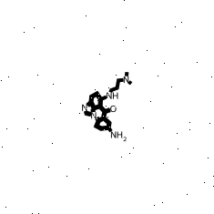 CN(C)CCCNc1ccc2ncn3c4ccc(N)cc4c(=O)c1c23